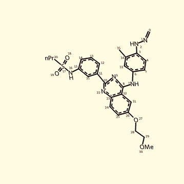 C=NNc1ccc(Nc2nc(-c3cccc(NS(=O)(=O)CCC)c3)nc3ccc(OCCOC)cc23)cc1C